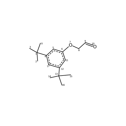 CC(C)(C)c1cc(OC[C]=O)cc(C(C)(C)C)c1